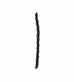 C#CCOCCOCCOCCOCCOCCOCCOCCOCCOCCOCCOCCOCCOCCOCCOCCOCCOCCOCC#C